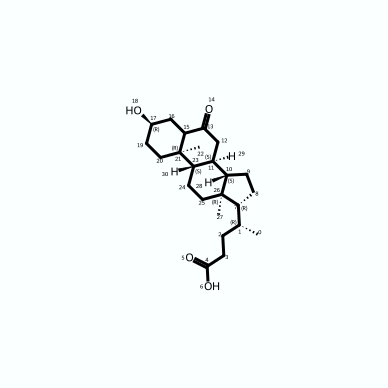 C[C@H](CCC(=O)O)[C@H]1CC[C@H]2[C@@H]3CC(=O)C4C[C@H](O)CC[C@]4(C)[C@H]3CC[C@]12C